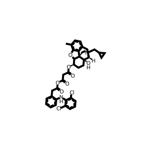 Cc1ccc2c3c1OC1[C@H](OC(=O)CC(=O)OC(=O)Cc4ccccc4Nc4c(Cl)cccc4Cl)CC[C@@]4(O)[C@@H](C2)N(CC2CC2)CC[C@]314